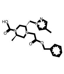 Cc1cnn(C[C@H]2CN(C(=O)O)[C@H](C)CN2CC(=O)OCc2ccccc2)c1